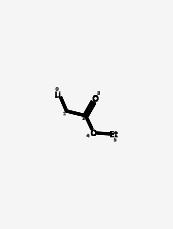 [Li][CH2]C(=O)OCC